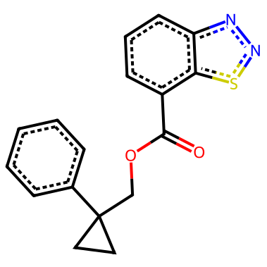 O=C(OCC1(c2ccccc2)CC1)c1cccc2nnsc12